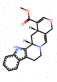 COC(=O)C1=COCC2=CN3CCc4c([nH]c5ccccc45)[C@@H]3C[C@@H]21